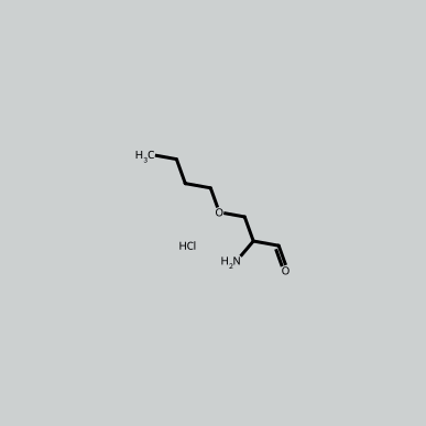 CCCCOCC(N)C=O.Cl